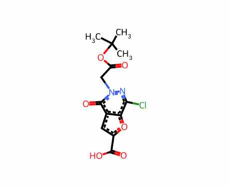 CC(C)(C)OC(=O)Cn1nc(Cl)c2oc(C(=O)O)cc2c1=O